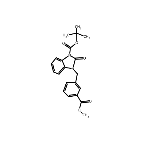 COC(=O)c1cccc(Cn2c(=O)n(C(=O)OC(C)(C)C)c3ccccc32)c1